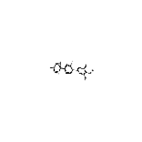 Cc1cnc(-c2ccc(-c3cc(F)c(CF)c(F)c3)c(F)c2)nc1